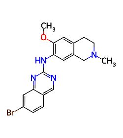 COc1cc2c(cc1Nc1ncc3ccc(Br)cc3n1)CN(C)CC2